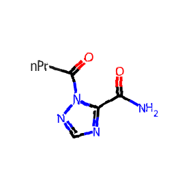 CCCC(=O)n1ncnc1C(N)=O